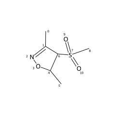 CC1=NOC(C)C1S(C)(=O)=O